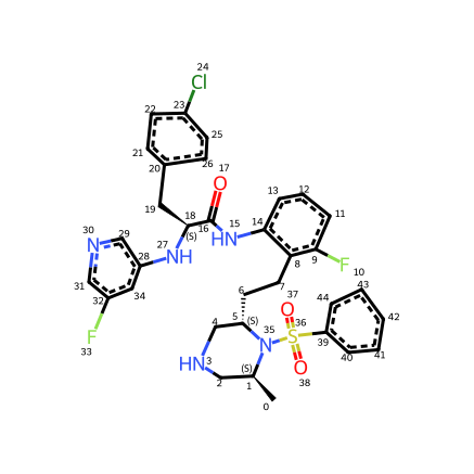 C[C@H]1CNC[C@H](CCc2c(F)cccc2NC(=O)[C@H](Cc2ccc(Cl)cc2)Nc2cncc(F)c2)N1S(=O)(=O)c1ccccc1